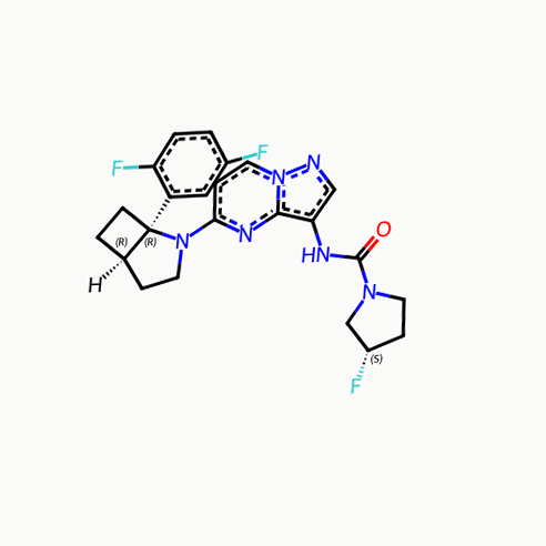 O=C(Nc1cnn2ccc(N3CC[C@H]4CC[C@]43c3cc(F)ccc3F)nc12)N1CC[C@H](F)C1